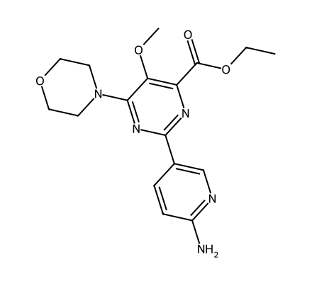 CCOC(=O)c1nc(-c2ccc(N)nc2)nc(N2CCOCC2)c1OC